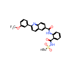 CCCCS(=O)(=O)NC(=O)c1ccccc1NC(=O)c1ccc2nc(-c3cccc(OC(F)(F)F)c3)ccc2c1